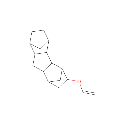 C=COC1CC2CC1C1C2CC2C3CCC(C3)C21